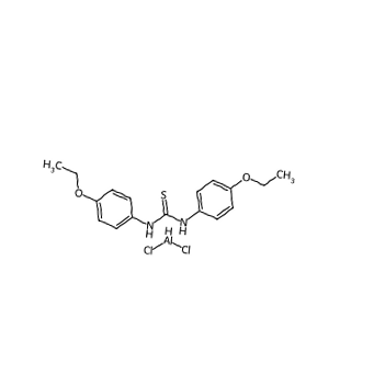 CCOc1ccc(NC(=S)Nc2ccc(OCC)cc2)cc1.[Cl][AlH][Cl]